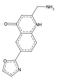 NCc1cc(=O)c2cc(-c3ncco3)ccc2[nH]1